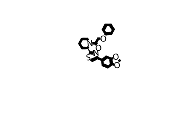 O=C(COc1ccccc1)N1CCCC[C@@H]1c1nc(-c2ccc3c(c2)OCO3)cs1